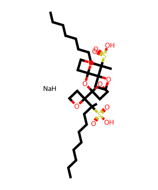 CCCCCCCCC(C)(C1(C2(OC3(C4(C(C)(CCCCCCCC)S(=O)(=O)O)CCO4)CCO3)CCO2)CCO1)S(=O)(=O)O.[NaH]